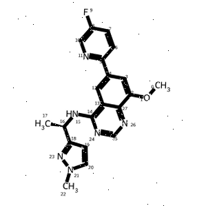 COc1cc(-c2ccc(F)cn2)cc2c(N[C@H](C)c3ccn(C)n3)ncnc12